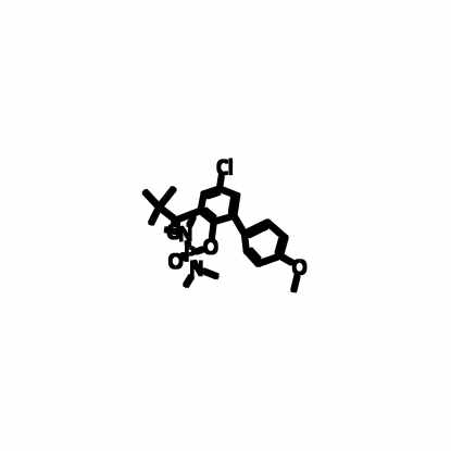 COc1ccc(-c2cc(Cl)cc(C(=O)C(C)(C)C)c2OP(=O)(N(C)C)N(C)C)cc1